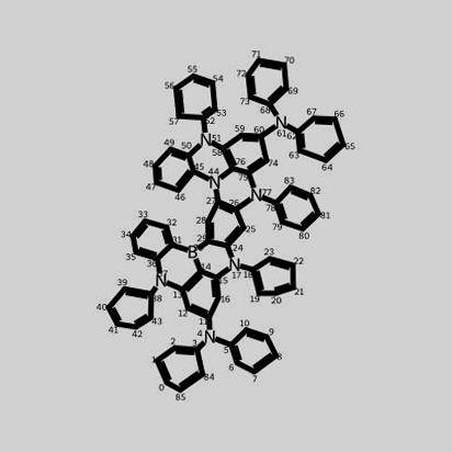 c1ccc(N(c2ccccc2)c2cc3c4c(c2)N(c2ccccc2)c2cc5c(cc2B4c2ccccc2N3c2ccccc2)N2c3ccccc3N(c3ccccc3)c3cc(N(c4ccccc4)c4ccccc4)cc(c32)N5c2ccccc2)cc1